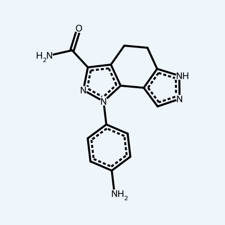 NC(=O)c1nn(-c2ccc(N)cc2)c2c1CCc1[nH]ncc1-2